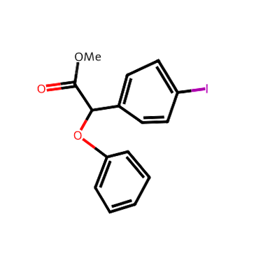 COC(=O)C(Oc1ccccc1)c1ccc(I)cc1